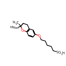 CCCCCCCCCC1(C)CCc2cc(OCCCCCS(=O)(=O)O)ccc2O1